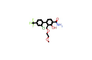 COCCOCc1c(-c2ccc(C(F)(F)F)cc2Cl)ccc(C(N)=O)c1O